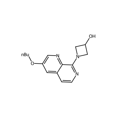 CCCCOc1cnc2c(N3CC(O)C3)nccc2c1